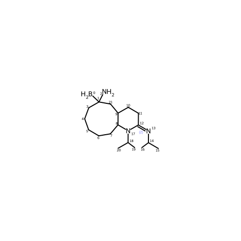 BC1(N)CCCCCC2C(CC/C(=N/C(C)C)N2C(C)C)C1